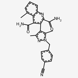 Cc1nn(Cc2ccc(C#N)cc2)c(C)c1-c1c(C(N)=O)nc2cccc(C)c2c1C(N)=O